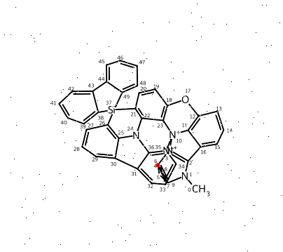 Cn1c2[n+](c3ccccc31)[N+]13c4c(cccc4-2)Oc2ccc4c(c21)-n1c2c(cccc2c2ccc[n+]3c21)[Si]41c2ccccc2-c2ccccc21